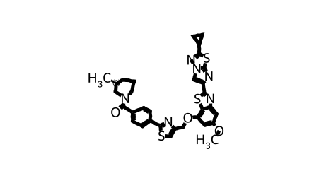 COc1cc(OCc2csc(-c3ccc(C(=O)N4CCC[C@H](C)C4)cc3)n2)c2sc(-c3cn4nc(C5CC5)sc4n3)nc2c1